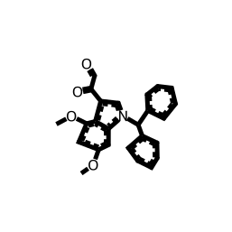 COc1cc(OC)c2c(C(=O)C=O)cn(C(c3ccccc3)c3ccccc3)c2c1